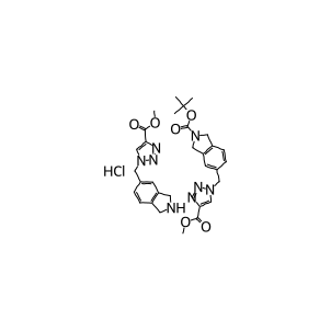 COC(=O)c1cn(Cc2ccc3c(c2)CN(C(=O)OC(C)(C)C)C3)nn1.COC(=O)c1cn(Cc2ccc3c(c2)CNC3)nn1.Cl